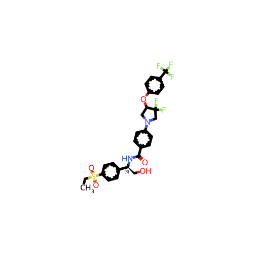 CCS(=O)(=O)c1ccc([C@H](CO)NC(=O)c2ccc(N3CC(Oc4ccc(C(F)(F)F)cc4)C(F)(F)C3)cc2)cc1